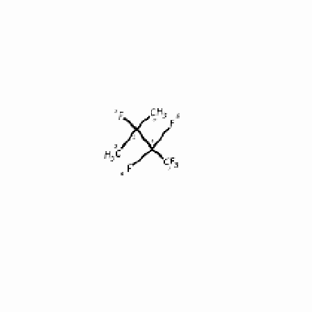 CC(C)(F)C(F)(F)C(F)(F)F